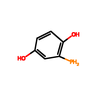 Oc1ccc(O)c(P)c1